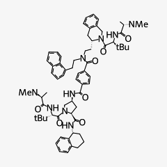 CN[C@@H](C)C(=O)N[C@H](C(=O)N1Cc2ccccc2C[C@H]1CCN(CCc1cccc2ccccc12)C(=O)c1ccc(C(=O)N[C@H]2C[C@@H](C(=O)N[C@@H]3CCCc4ccccc43)N(C(=O)[C@@H](NC(=O)[C@H](C)NC)C(C)(C)C)C2)cc1)C(C)(C)C